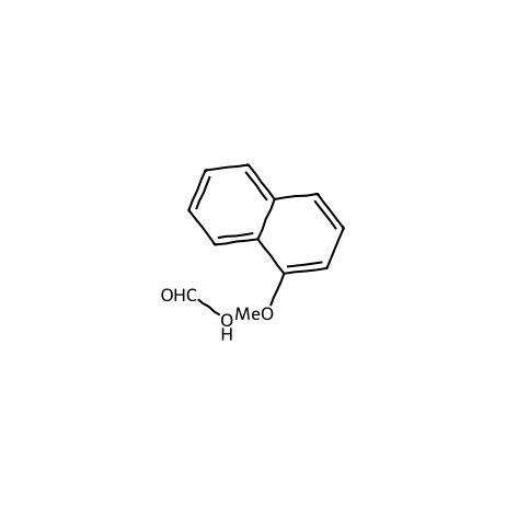 COc1cccc2ccccc12.O=CO